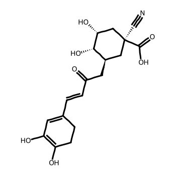 N#C[C@]1(C(=O)O)C[C@@H](CC(=O)/C=C/C2=CC(O)=C(O)CC2)[C@H](O)[C@H](O)C1